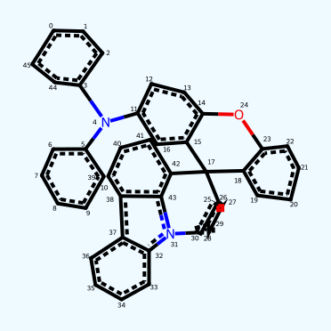 c1ccc(N(c2ccccc2)c2ccc3c(c2)C2(c4ccccc4O3)c3ccccc3-n3c4ccccc4c4cccc2c43)cc1